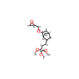 CO[Si](CCC1CC2CC(OCC3CO3)C1C2)(OC)OC